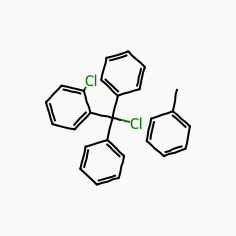 Cc1ccccc1.Clc1ccccc1C(Cl)(c1ccccc1)c1ccccc1